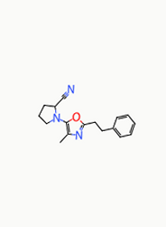 Cc1nc(CCc2ccccc2)oc1N1CCCC1C#N